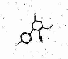 CSC1=C(C#N)C(c2ccc(Cl)cc2)CC(=O)C1